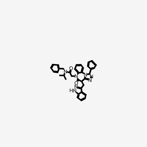 CC(C)N(Cc1ccccc1)C(=O)CN1C(=O)C(Cc2n[nH]c3ccccc23)c2nnc(-c3ccccc3)n2-c2ccccc21